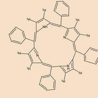 [2H]C1=C([2H])c2nc1c(-c1ccccc1)c1[nH]c(c([2H])c1[2H])c(-c1ccccc1)c1nc(c(-c3ccccc3)c3[nH]c(c([2H])c3[2H])c2-c2ccccc2)C([2H])=C1[2H]